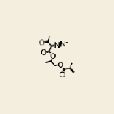 C=C(C)C(=O)OCC(C)OC(=O)C(=[N+]=[N-])C(C)=O